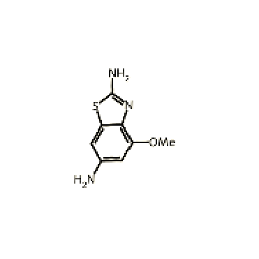 COc1cc(N)cc2sc(N)nc12